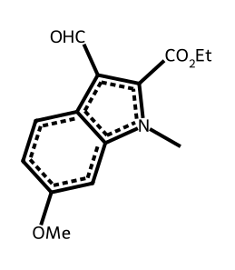 CCOC(=O)c1c(C=O)c2ccc(OC)cc2n1C